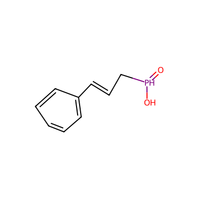 O=[PH](O)CC=Cc1ccccc1